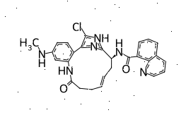 CNc1ccc2c(c1)NC(=O)CC/C=C/C[C@H](NC(=O)c1cccc3cccnc13)c1nc-2c(Cl)[nH]1